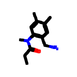 CCC(=O)N(C)c1cc(C)c(C)cc1CN